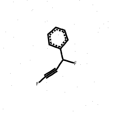 FC#CC(F)c1ccccc1